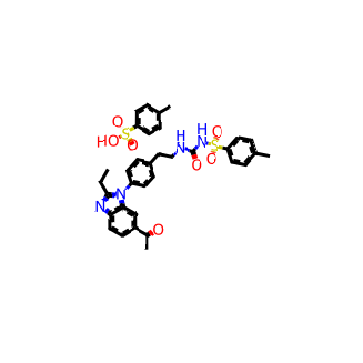 CCc1nc2ccc(C(C)=O)cc2n1-c1ccc(CCNC(=O)NS(=O)(=O)c2ccc(C)cc2)cc1.Cc1ccc(S(=O)(=O)O)cc1